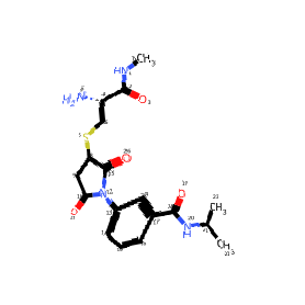 CNC(=O)[C@@H](N)CSC1CC(=O)N(c2cccc(C(=O)NC(C)C)c2)C1=O